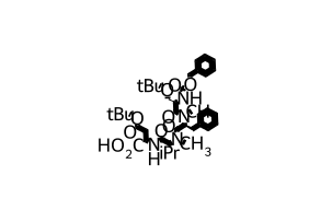 CC(C)[C@@H](C(=O)N[C@@H](CC(=O)OC(C)(C)C)C(=O)O)N(C)C(=O)[C@H](Cc1ccccc1)N(C)C(=O)[C@H](COC(C)(C)C)NC(=O)OCc1ccccc1